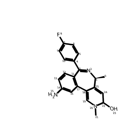 C[C@@H]1N=C(c2ccc(F)cc2)c2ccc(N)cc2C2=CN(C)C(O)C=C21